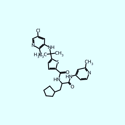 Cc1cc(NC(=O)C(CC2CCCC2)NC(=O)c2ccc(C(C)(C)Nc3cc(Cl)cnc3C)s2)ccn1